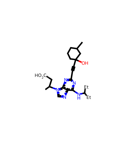 CCC(CC)Nc1nc(C#CC2(O)CCCC(C)C2)nc2c1ncn2C(C)CC(=O)O